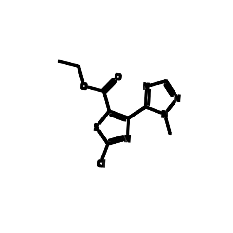 CCOC(=O)c1sc(Cl)nc1-c1ncnn1C